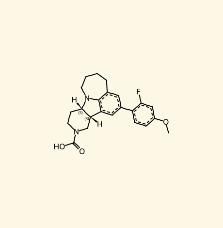 COc1ccc(-c2cc3c4c(c2)[C@@H]2CN(C(=O)O)CC[C@@H]2N4CCCC3)c(F)c1